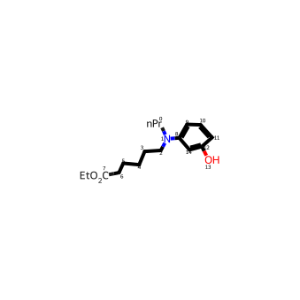 CCCN(CCCCCC(=O)OCC)c1cccc(O)c1